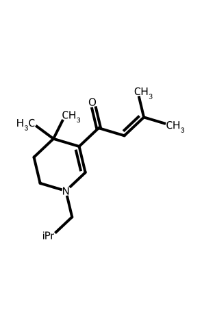 CC(C)=CC(=O)C1=CN(CC(C)C)CCC1(C)C